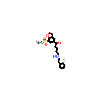 CNS(=O)(=O)c1cc(C(=O)CCCCNCCc2ccccc2Cl)cc2c1OCC2